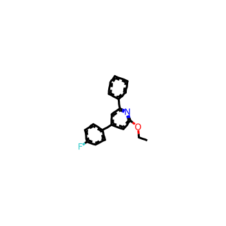 CCOc1cc(-c2ccc(F)cc2)cc(-c2ccccc2)n1